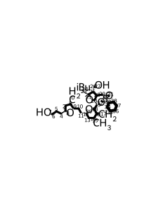 C=C1C[C@H](CCCO)OC1CC[C@H]1C[C@@H](C)C(=C)C(C[C@@H]2O[C@H](C[C@H](C)CC)[C@H](CO)C2CS(=O)(=O)c2ccccc2)O1